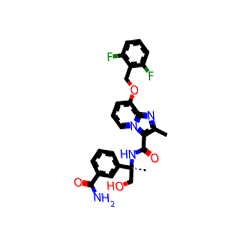 Cc1nc2c(OCc3c(F)cccc3F)cccn2c1C(=O)N[C@@](C)(CO)c1cccc(C(N)=O)c1